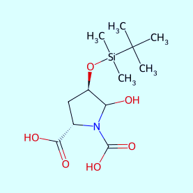 CC(C)(C)[Si](C)(C)O[C@@H]1C[C@@H](C(=O)O)N(C(=O)O)C1O